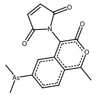 Cc1oc(=O)c(N2C(=O)C=CC2=O)c2cc([As](C)C)ccc12